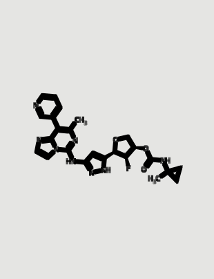 Cc1nc(Nc2cc([C@H]3OC[C@@H](OC(=O)NC4(C)CC4)[C@H]3F)[nH]n2)n2ccnc2c1-c1cccnc1